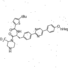 CCCCCCCOc1ccc(-c2cnc(-c3ccc(C[C@H](NC(=O)c4ccc(C(C)(C)C)s4)C(=O)N4CCNCC4C(=O)O)cc3)nc2)cc1